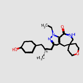 CCn1nc(C[C@H](C)CC2CCC(O)CC2)c2c1C(=O)NCC1(CCOCC1)C2